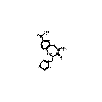 CN1Cc2cc(C(=O)O)ccc2N[C@H](Cc2ccccc2)C1=O